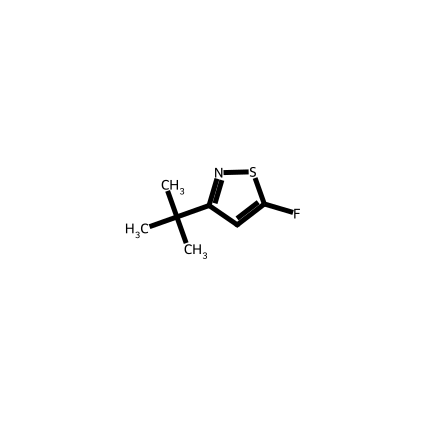 CC(C)(C)c1cc(F)sn1